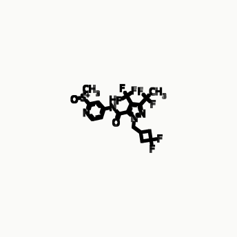 C[S+]([O-])c1cc(NC(=O)c2c(C(F)(F)F)c(C(C)(F)F)nn2CC2CC(F)(F)C2)ccn1